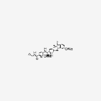 COc1ccc2c(c1)[C@]1(C[C@H]1c1ccc3c(Nc4ccc(C(=O)NCC5CC5)nc4OC)n[nH]c3c1)C(=O)N2